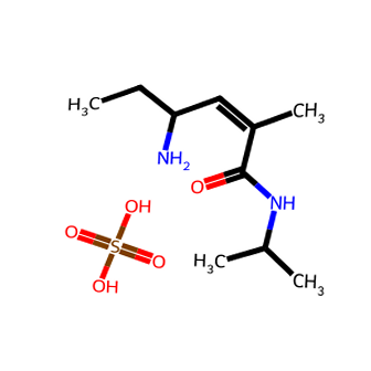 CCC(N)C=C(C)C(=O)NC(C)C.O=S(=O)(O)O